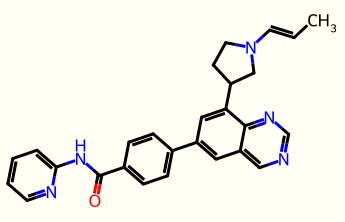 CC=CN1CCC(c2cc(-c3ccc(C(=O)Nc4ccccn4)cc3)cc3cncnc23)C1